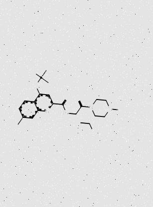 CCOC(=O)N1CCN(C(=O)[C@H](CCC(=O)O)NC(=O)c2cc(OC(C)(C)C(=O)OCC)c3ccc(C)cc3n2)CC1